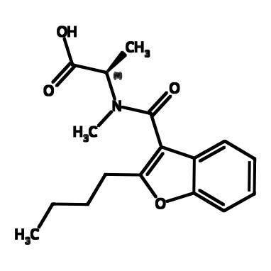 CCCCc1oc2ccccc2c1C(=O)N(C)[C@H](C)C(=O)O